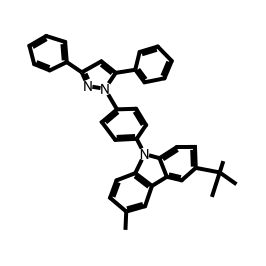 Cc1ccc2c(c1)c1cc(C(C)(C)C)ccc1n2-c1ccc(-n2nc(-c3ccccc3)cc2-c2ccccc2)cc1